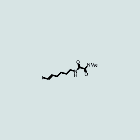 CNC(=O)C(=O)NCCCCC=CI